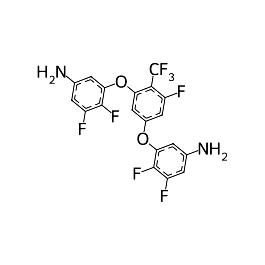 Nc1cc(F)c(F)c(Oc2cc(F)c(C(F)(F)F)c(Oc3cc(N)cc(F)c3F)c2)c1